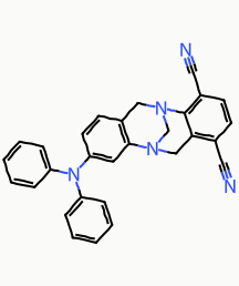 N#Cc1ccc(C#N)c2c1CN1CN2Cc2ccc(N(c3ccccc3)c3ccccc3)cc21